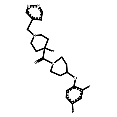 O=C(N1CCC(Oc2ccc(F)cc2F)CC1)C1(F)CCN(Cc2ccnnc2)CC1